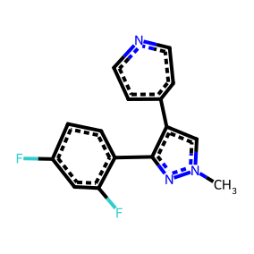 Cn1cc(-c2ccncc2)c(-c2ccc(F)cc2F)n1